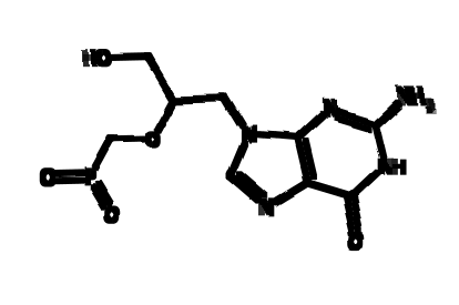 Nc1nc2c(ncn2CC(CO)OCP(=O)=O)c(=O)[nH]1